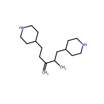 C=C(CCC1CCNCC1)C(C)CC1CCNCC1